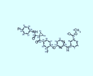 COC(=O)c1cccc(Nc2nccc(Oc3ccc(C(=O)C4(C(=O)Nc5ccc(F)cc5)CC4)cc3F)n2)c1